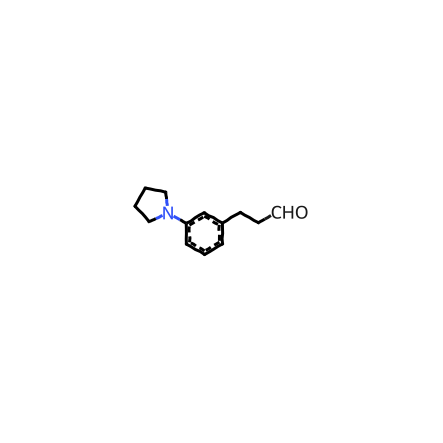 O=CCCc1cccc(N2CCCC2)c1